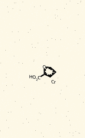 O=C(O)c1ccco1.[Cr]